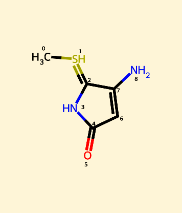 C[SH]=C1NC(=O)C=C1N